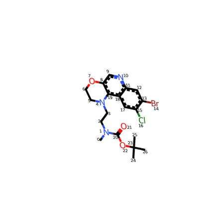 CN(CCN1CCOc2cnc3cc(Br)c(Cl)cc3c21)C(=O)OC(C)(C)C